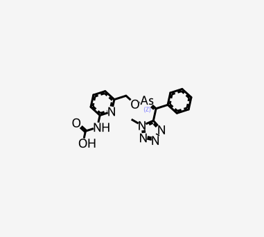 Cn1nnnc1/C(=[As]\OCc1cccc(NC(=O)O)n1)c1ccccc1